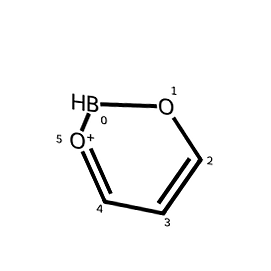 B1OC=CC=[O+]1